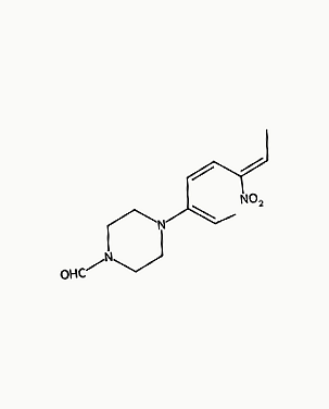 C\C=C(/C=C\C(=C/C)[N+](=O)[O-])N1CCN(C=O)CC1